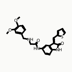 COc1ccc(CNCC(=O)Nc2ccc3c(c2)C(=Cc2cccs2)C(=O)N3)cc1OC